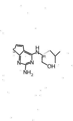 CC(C)C[C@H](CO)Nc1nc(N)nc2sccc12